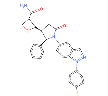 NC(=O)C1COC1[C@H]1CC(=O)N(c2ccc3c(cnn3-c3ccc(F)cc3)c2)[C@H]1c1ccccc1